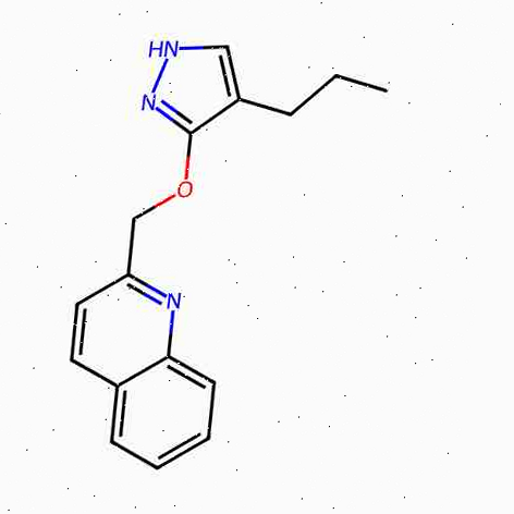 CCCc1c[nH]nc1OCc1ccc2ccccc2n1